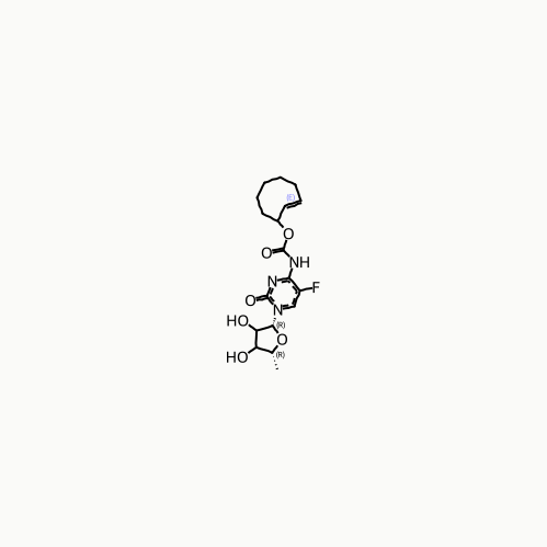 C[C@H]1O[C@@H](n2cc(F)c(NC(=O)OC3/C=C/CCCCC3)nc2=O)C(O)C1O